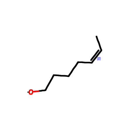 C/C=C\CCCC[O]